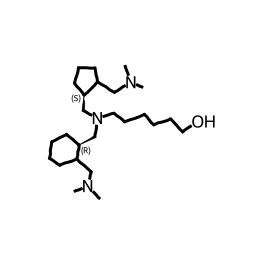 CN(C)CC1CCC[C@@H]1CN(CCCCCCO)C[C@@H]1CCCCC1CN(C)C